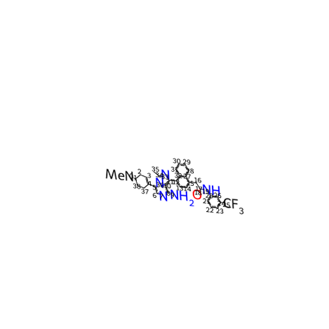 CNC1CC=C(c2cnc(N)c3c(-c4ccc(CC(=O)Nc5cccc(C(F)(F)F)c5)c5ccccc45)nc(C)n23)CC1